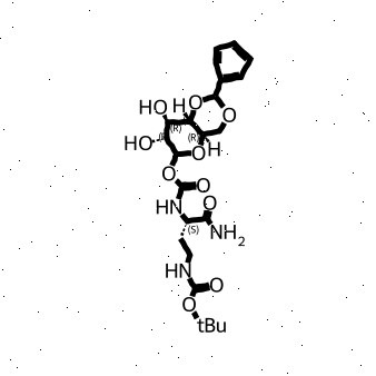 CC(C)(C)OC(=O)NCC[C@H](NC(=O)OC1O[C@@H]2COC(c3ccccc3)O[C@H]2[C@H](O)[C@H]1O)C(N)=O